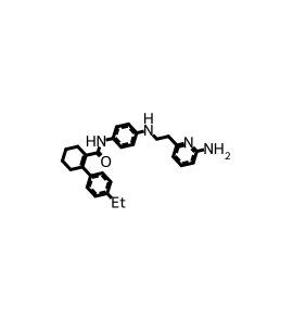 CCc1ccc(C2=C(C(=O)Nc3ccc(NCCc4cccc(N)n4)cc3)CCCC2)cc1